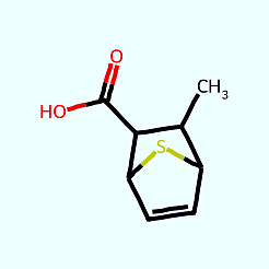 CC1C2C=CC(S2)C1C(=O)O